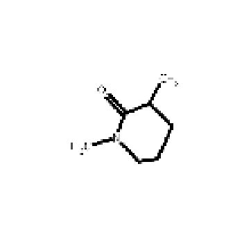 CC1CCCN(C)C1=O